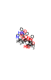 CC1=C2[CH]C(=O)[C@]3(C)[C@@H](O)C[C@H]4OC[C]4[C@H]3[C@H](OC(=O)c3ccccc3)[C@](O)(C[C@@H]1OC(=O)[C@H](OC(=O)c1cccnc1)[C@@H](NC(=O)c1ccccc1)c1ccccc1)C2(C)C